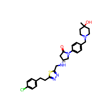 CC1(O)CCN(Cc2ccc(N3C[C@H](NCc4nnc(CCc5ccc(Cl)cc5)s4)CC3=O)cc2)CC1